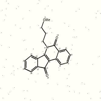 COCCCn1c2c(c3ccccc3c1=O)C(=O)c1ccccc1-2